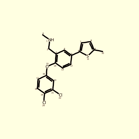 CNCc1cc(-c2ccc(C)s2)ccc1Oc1ccc(Cl)c(Cl)c1